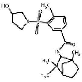 Cc1ccc(C(=O)NC2C3(C)CCC(C3)C2(C)C)cc1S(=O)(=O)N1CCC(O)C1